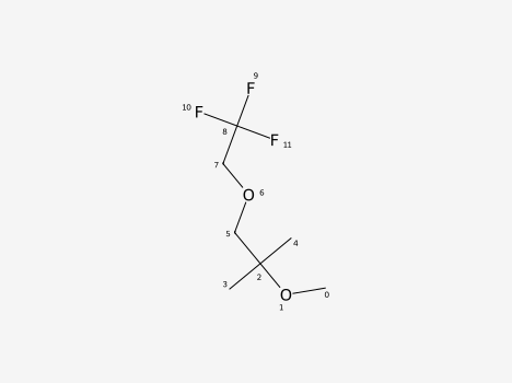 COC(C)(C)COCC(F)(F)F